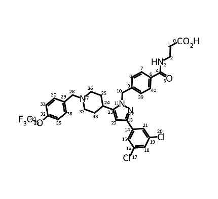 O=C(O)CCNC(=O)c1ccc(Cn2nc(-c3cc(Cl)cc(Cl)c3)cc2C2CCN(Cc3ccc(OC(F)(F)F)cc3)CC2)cc1